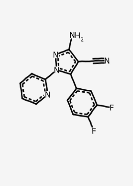 N#Cc1c(N)nn(-c2ccccn2)c1-c1ccc(F)c(F)c1